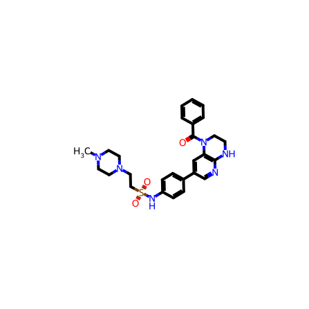 CN1CCN(CCS(=O)(=O)Nc2ccc(-c3cnc4c(c3)N(C(=O)c3ccccc3)CCN4)cc2)CC1